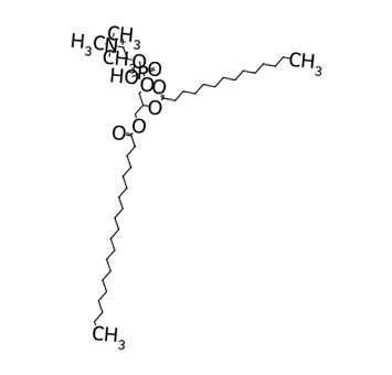 CCCCCCCCCCCCCCCCCCCC(=O)OCC(COP(=O)(O)OCC[N+](C)(C)C)OC(=O)CCCCCCCCCCCCC